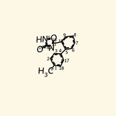 Cc1ccc(-c2ccccc2-c2nc(=O)[nH]o2)cc1